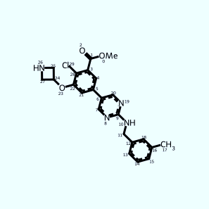 COC(=O)c1cc(-c2cnc(NCc3cccc(C)c3)nc2)cc(OC2CNC2)c1Cl